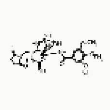 COc1cc(C(=O)NC2CN3C(=N)N[C@@H](CN4C(=O)CCC4=O)C4NC(=N)NC43C2(O)O)cc(OC)c1OC